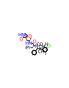 CC(C)C[C@@H](C(=O)N[C@H](CO)C[C@@H]1CCNC1=O)N(C(=O)O)[C@H](c1ccccc1)C(C)(C)c1cccc(Cl)c1